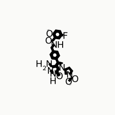 COC(=O)N1CC[C@@H](n2cc(-c3ccc(CNC(=O)c4cc(F)ccc4OC)cc3)c3c(N)n[nH]c(=O)c32)C1